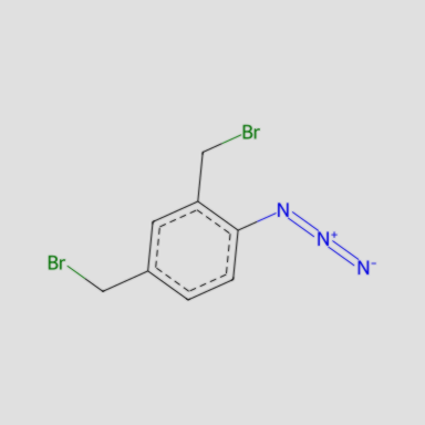 [N-]=[N+]=Nc1ccc(CBr)cc1CBr